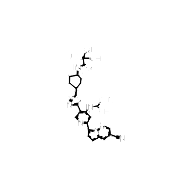 CC(C)Nc1cc(-c2ccc3cc(C#N)cnn23)ncc1-c1nnc(C2CCC(NC(=O)C(C)(C)O)CC2)s1